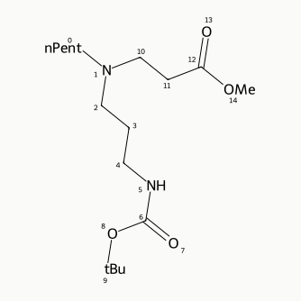 CCCCCN(CCCNC(=O)OC(C)(C)C)CCC(=O)OC